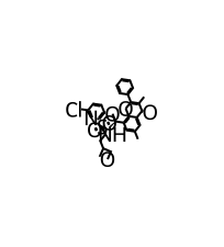 Cc1cc([C@@H](C)Oc2ccc(Cl)nc2S(=O)(=O)NCC2COC2)c2oc(-c3ccccc3)c(C)c(=O)c2c1